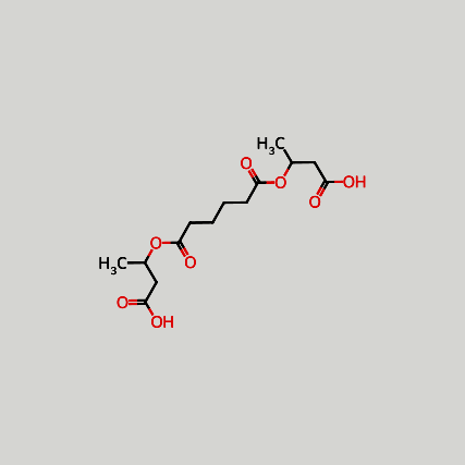 CC(CC(=O)O)OC(=O)CCCCC(=O)OC(C)CC(=O)O